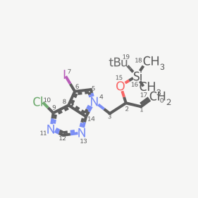 C=CC(Cn1cc(I)c2c(Cl)ncnc21)O[Si](C)(C)C(C)(C)C